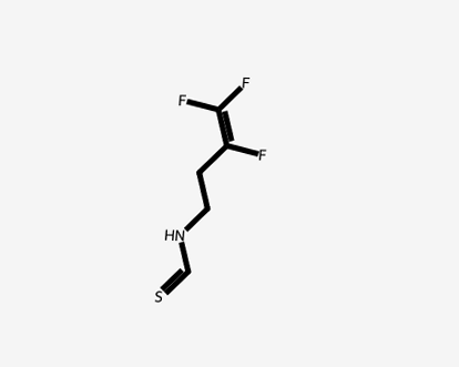 FC(F)=C(F)CCNC=S